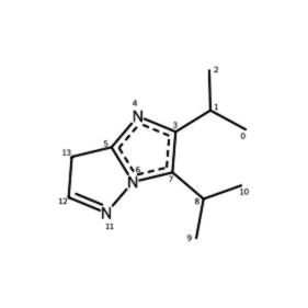 CC(C)c1nc2n(c1C(C)C)N=CC2